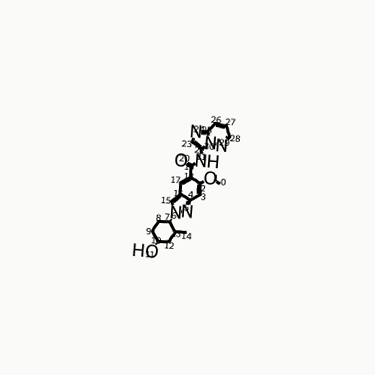 COc1cc2nn([C@H]3CC[C@@H](O)CC3C)cc2cc1C(=O)Nc1cnc2cccnn12